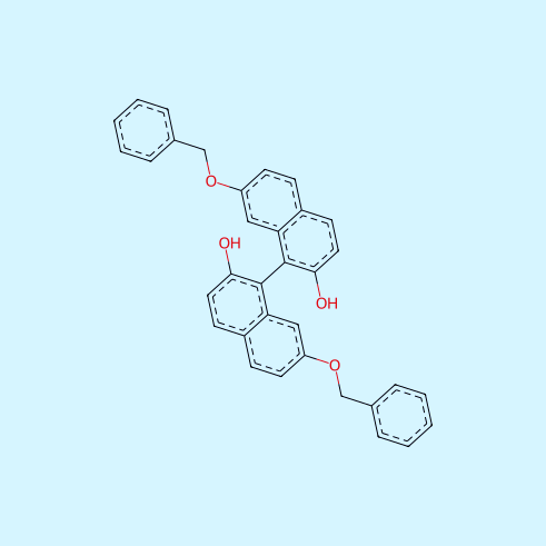 Oc1ccc2ccc(OCc3ccccc3)cc2c1-c1c(O)ccc2ccc(OCc3ccccc3)cc12